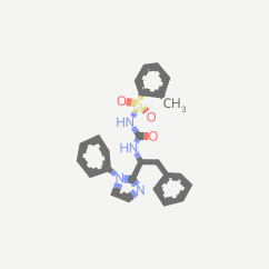 Cc1ccccc1S(=O)(=O)NC(=O)NC(Cc1ccccc1)c1nccn1-c1ccccc1